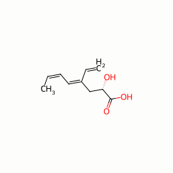 C=C/C(=C\C=C/C)C[C@H](O)C(=O)O